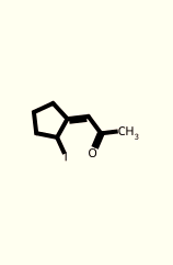 CC(=O)C=C1CCCC1I